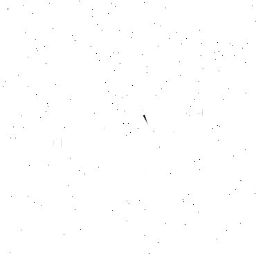 O[C@@H]1CCCC[C@H]1Sc1cccc(Cl)c1